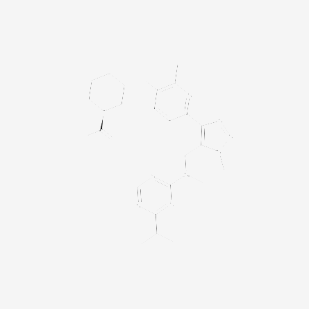 Cc1nc(-c2nnn(C)c2CN(C)c2ncnc(C(C)C)n2)ccc1O[C@H]1CCC[C@H](C(=O)O)C1